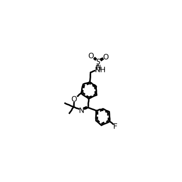 CC1(C)N=C(c2ccc(F)cc2)c2ccc(CN[SH](=O)=O)cc2O1